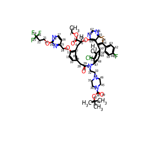 CCOC(=O)[C@H]1Cc2cc(ccc2OCc2ccnc(OCCC(F)(F)F)n2)CC(=O)N(CCN2CCN(C(=O)OC(C)(C)C)CC2)c2ccc(c(C)c2Cl)-c2c(-c3ccc(F)cc3)sc3ncnc(c23)O1